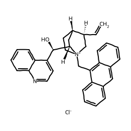 C=C[C@H]1C[N+]2(Cc3c4ccccc4cc4ccccc34)CC[C@H]1C[C@H]2[C@H](O)c1ccnc2ccccc12.[Cl-]